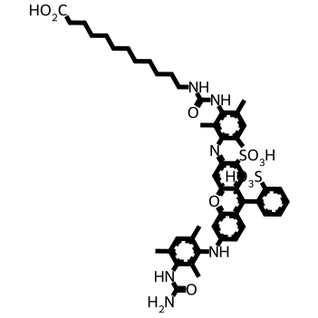 Cc1cc(C)c(NC(=O)NCCCCCCCCCCCC(=O)O)c(C)c1/N=c1/cc2oc3cc(Nc4c(C)cc(C)c(NC(N)=O)c4C)ccc3c(-c3ccccc3S(=O)(=O)O)c-2cc1S(=O)(=O)O